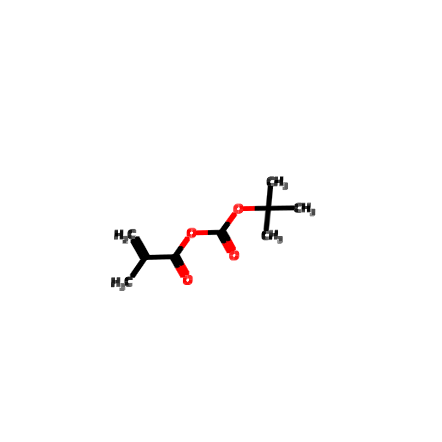 C=C(C)C(=O)OC(=O)OC(C)(C)C